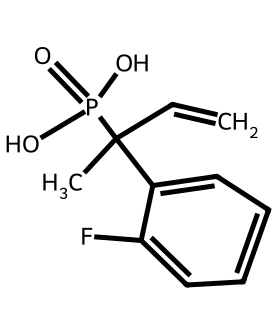 C=CC(C)(c1ccccc1F)P(=O)(O)O